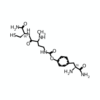 CNC(CCNC(=O)Oc1ccc(C[C@H](N)C(N)=O)cc1)C(=O)N[C@@H](CS)C(N)=O